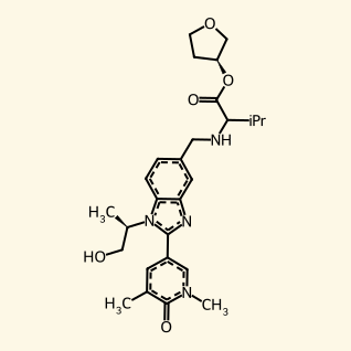 Cc1cc(-c2nc3cc(CNC(C(=O)O[C@H]4CCOC4)C(C)C)ccc3n2[C@H](C)CO)cn(C)c1=O